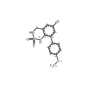 O=S1(=O)NCc2cc(Cl)cc(-c3ccc(OC(F)(F)F)cc3)c2N1